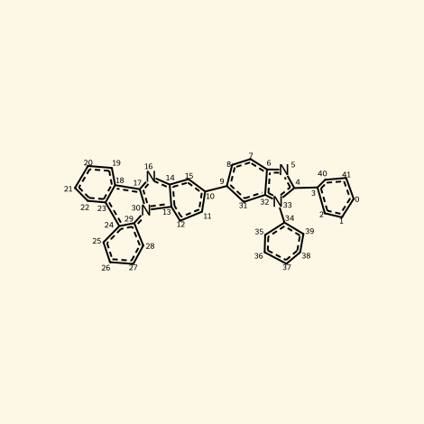 c1ccc(-c2nc3ccc(-c4ccc5c(c4)nc4c6ccccc6c6ccccc6n54)cc3n2-c2ccccc2)cc1